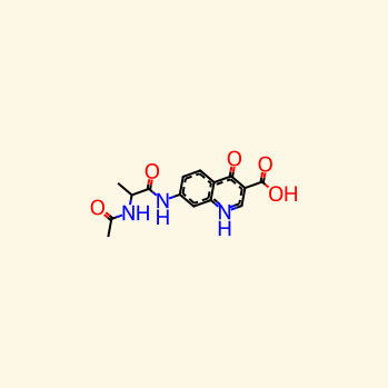 CC(=O)NC(C)C(=O)Nc1ccc2c(=O)c(C(=O)O)c[nH]c2c1